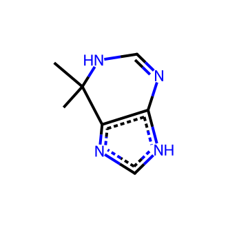 CC1(C)NC=Nc2[nH]cnc21